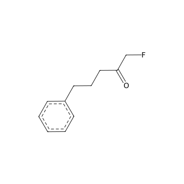 O=C(CF)CCCc1ccccc1